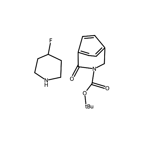 CC(C)(C)OC(=O)N1Cc2ccc(cc2)C1=O.FC1CCNCC1